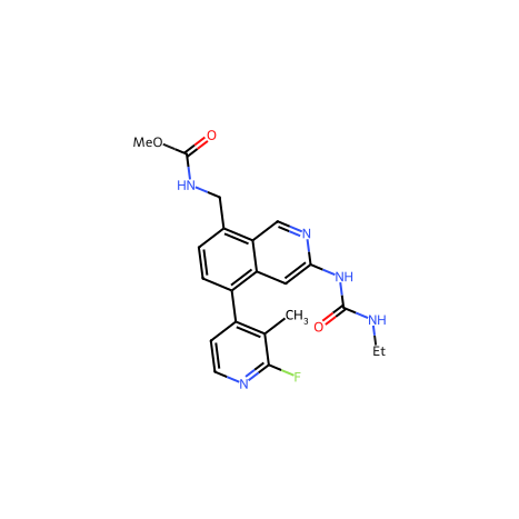 CCNC(=O)Nc1cc2c(-c3ccnc(F)c3C)ccc(CNC(=O)OC)c2cn1